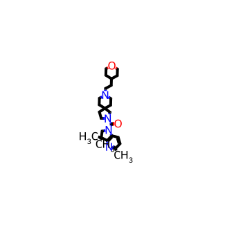 Cc1ccc2c(n1)C(C)(C)CN2C(=O)N1CCC2(CCN(CCC3CCOCC3)CC2)C1